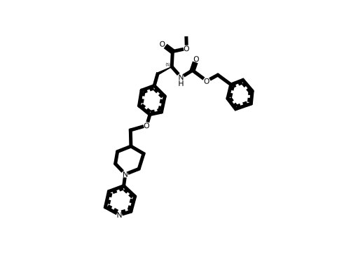 COC(=O)[C@H](Cc1ccc(OCC2CCN(c3ccncc3)CC2)cc1)NC(=O)OCc1ccccc1